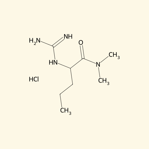 CCCC(NC(=N)N)C(=O)N(C)C.Cl